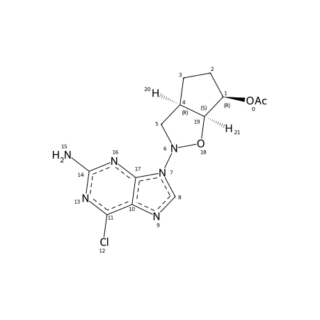 CC(=O)O[C@@H]1CC[C@@H]2CN(n3cnc4c(Cl)nc(N)nc43)O[C@@H]21